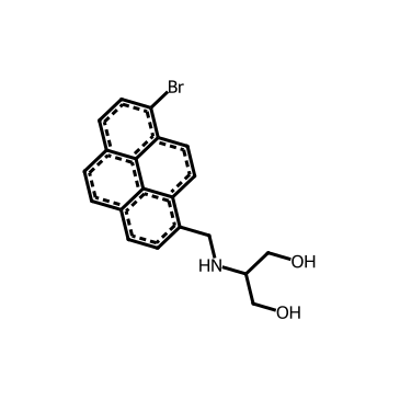 OCC(CO)NCc1ccc2ccc3ccc(Br)c4ccc1c2c34